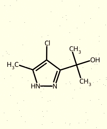 Cc1[nH]nc(C(C)(C)O)c1Cl